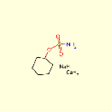 NS(=O)(=O)OC1CCCCC1.[CaH2].[NaH]